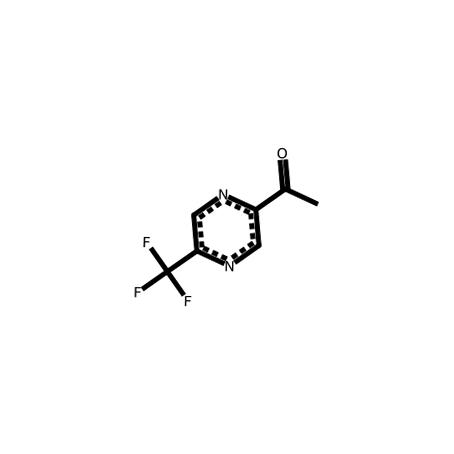 CC(=O)c1cnc(C(F)(F)F)cn1